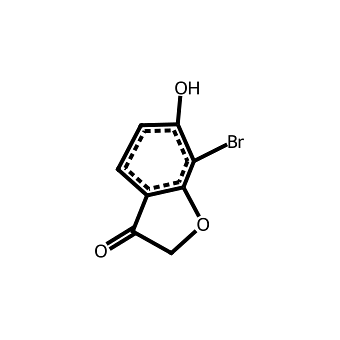 O=C1COc2c1ccc(O)c2Br